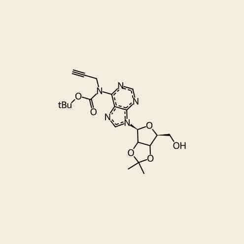 C#CCN(C(=O)OC(C)(C)C)c1ncnc2c1ncn2[C@H]1O[C@@H](CO)C2OC(C)(C)OC21